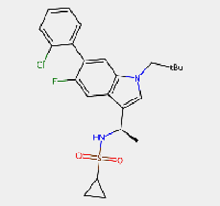 C[C@@H](NS(=O)(=O)C1CC1)c1cn(CC(C)(C)C)c2cc(-c3ccccc3Cl)c(F)cc12